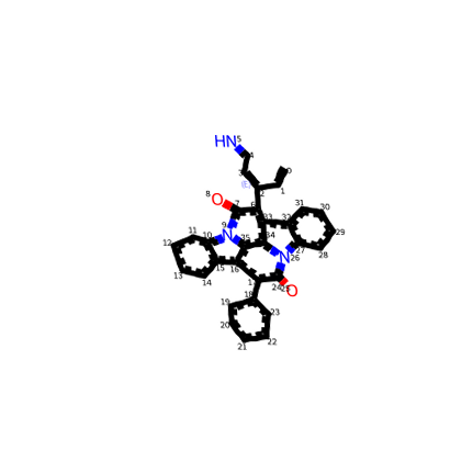 C=C/C(=C\C=N)c1c(=O)n2c3ccccc3c3c(-c4ccccc4)c(=O)n4c5ccccc5c1c4c32